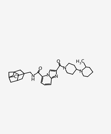 CC1CCCCN1C1CCN(C(=O)c2cn3c(C(=O)NCC45CC6CC7(C4)CC(C6)(C5)C7)cccc3n2)CC1